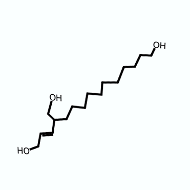 OCC=CC(CO)CCCCCCCCCCCO